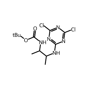 CC(NC(=O)OC(C)(C)C)C(C)Nc1nc(Cl)nc(Cl)n1